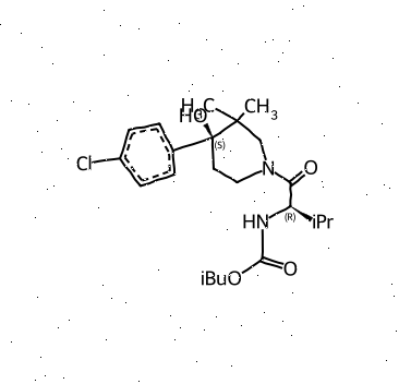 CC(C)COC(=O)N[C@@H](C(=O)N1CC[C@](O)(c2ccc(Cl)cc2)C(C)(C)C1)C(C)C